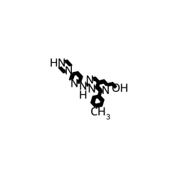 Cc1ccc(-c2nc(CO)cc3cnc(Nc4ccc(N5CCNCC5)cn4)nc23)cc1